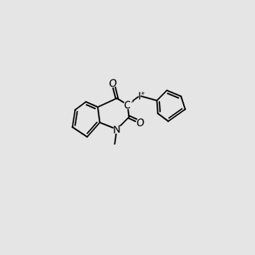 Cn1c(=O)[c-]([I+]c2ccccc2)c(=O)c2ccccc21